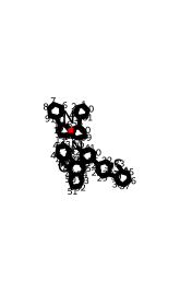 c1ccc(-n2c3ccccc3c3ccccc32)c(-c2ccc(N(c3ccc(-c4ccc5c(c4)sc4ccccc45)cc3)c3cccc4oc5c6ccccc6ccc5c34)cc2)c1